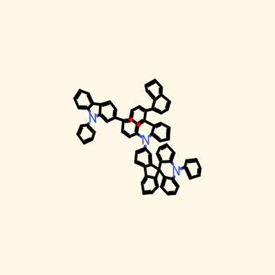 c1ccc(N2c3ccccc3C3(c4ccccc4-c4ccc(N(c5ccc(-c6ccc7c8ccccc8n(-c8ccccc8)c7c6)cc5)c5ccccc5-c5ccccc5-c5cccc6ccccc56)cc43)c3ccccc32)cc1